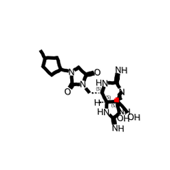 CC1CCC(N2CC(=O)N(C[C@@H]3NC(=N)N4CCC(O)(O)[C@@]45NC(=N)N[C@@H]35)C2=O)C1